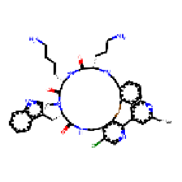 COc1cc(-c2ncc(Cl)c3c2Sc2ccccc2CN[C@@H](CCCN)C(=O)N[C@@H](CCCCN)C(=O)N(C)[C@@H](Cc2c[nH]c4ccccc24)C(=O)NC3)ccn1